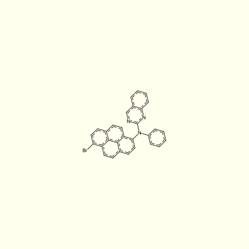 Brc1ccc2ccc3c(N(c4ccccc4)c4ncc5ccccc5n4)ccc4ccc1c2c43